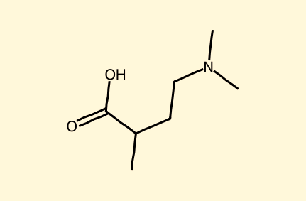 CC(CCN(C)C)C(=O)O